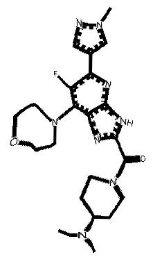 CN(C)C1CCN(C(=O)c2nc3c(N4CCOCC4)c(F)c(-c4cnn(C)c4)nc3[nH]2)CC1